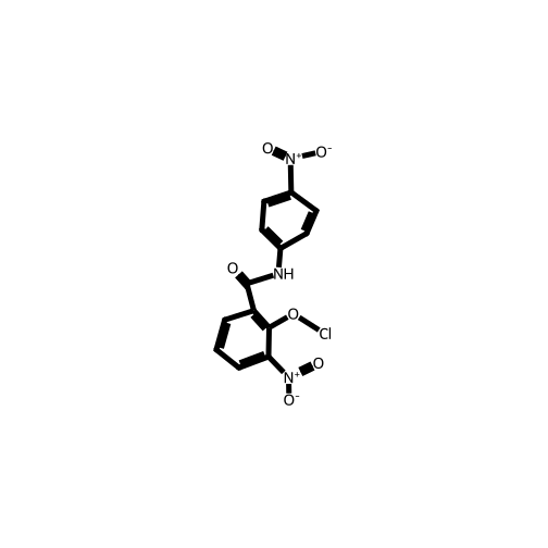 O=C(Nc1ccc([N+](=O)[O-])cc1)c1cccc([N+](=O)[O-])c1OCl